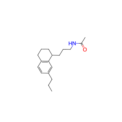 CCCc1ccc2c(c1)C(CCCNC(C)=O)CCC2